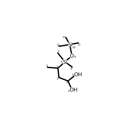 CC(CC(O)O)[Si](C)(C)O[Si](C)(C)C